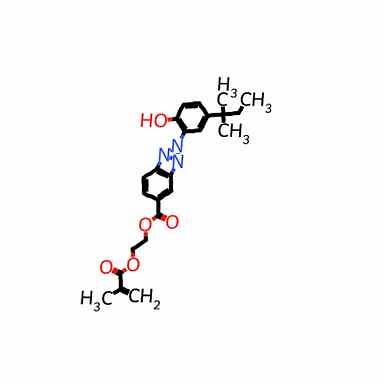 C=C(C)C(=O)OCCOC(=O)c1ccc2c(c1)n1n(-c3cc(C(C)(C)CC)ccc3O)n21